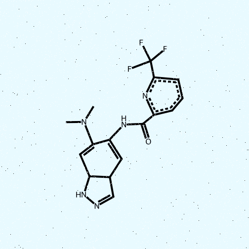 CN(C)C1=CC2NN=CC2C=C1NC(=O)c1cccc(C(F)(F)F)n1